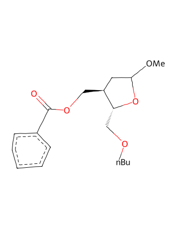 CCCCOC[C@H]1OC(OC)C[C@@H]1COC(=O)c1ccccc1